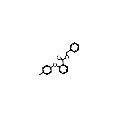 Cc1ccc(Oc2ccccc2C(=O)OCc2ccccc2)cc1